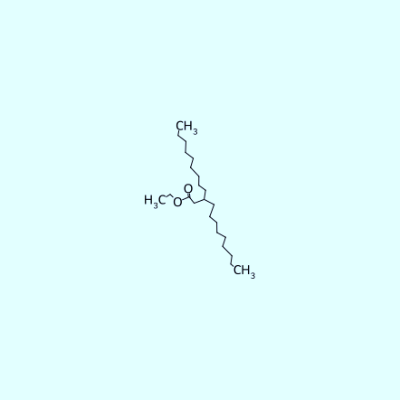 CCCCCCCCCC(CCCCCCCCC)CC(=O)OCC